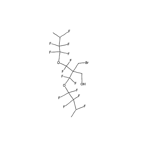 CC(F)C(F)(F)C(F)(F)OC(F)(F)C(CO)(CBr)C(F)(F)OC(F)(F)C(F)(F)C(C)F